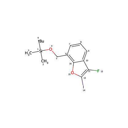 CC(C)(C)[Si](C)(C)OCc1cccc2c(F)c(I)oc12